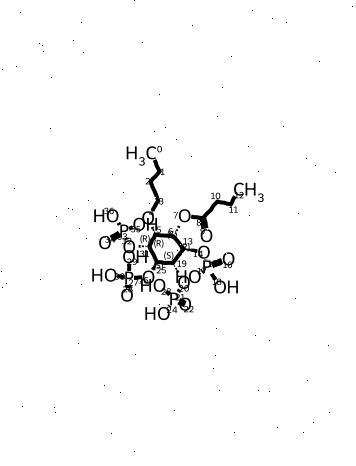 CCCCO[C@@H]1[C@H](OC(=O)CCC)[C@@H](OP(=O)(O)O)[C@H](OP(=O)(O)O)[C@@H](OP(=O)(O)O)[C@@H]1OP(=O)(O)O